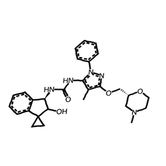 Cc1c(OC[C@H]2CN(C)CCO2)nn(-c2ccccc2)c1NC(=O)N[C@@H]1c2ccccc2C2(CC2)C1O